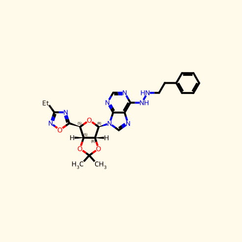 CCc1noc([C@H]2O[C@@H](n3cnc4c(NNCCc5ccccc5)ncnc43)[C@@H]3OC(C)(C)O[C@@H]32)n1